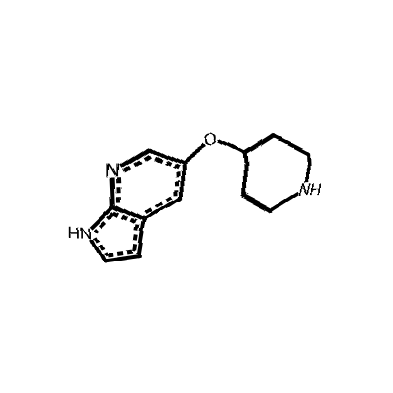 c1cc2cc(OC3CCNCC3)cnc2[nH]1